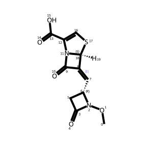 CON1C(=O)C[C@@H]1/C=C1\C(=O)N2C(C(=O)O)=CS[C@@H]12